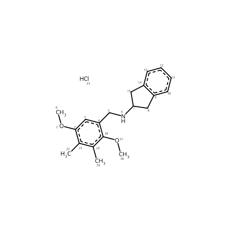 COc1cc(CNC2Cc3ccccc3C2)c(OC)c(C)c1C.Cl